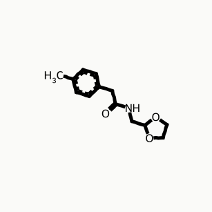 Cc1ccc(CC(=O)NCC2OCCO2)cc1